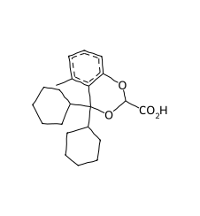 Cc1cccc2c1C(C1CCCCC1)(C1CCCCC1)OC(C(=O)O)O2